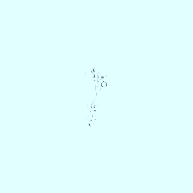 CC(C)(C)OC(=O)NC1CCN(S(=O)(=O)CCCCCCNc2cccc3c2C(=O)N(C2CCC(=O)NC2=O)C3=O)CC1